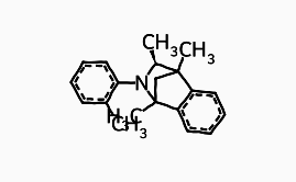 Cc1ccccc1N1[C@@H](C)C2(C)CC1(C)c1ccccc12